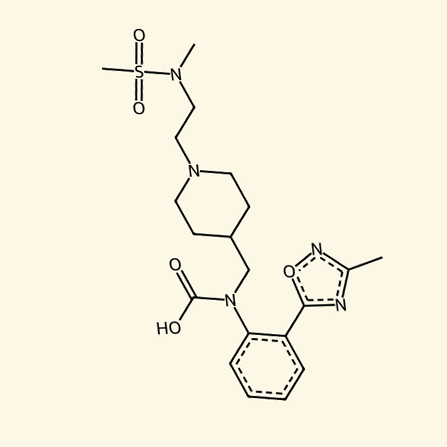 Cc1noc(-c2ccccc2N(CC2CCN(CCN(C)S(C)(=O)=O)CC2)C(=O)O)n1